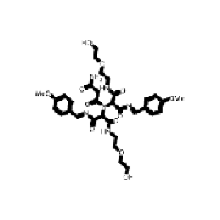 COc1ccc(C=NC(=O)C(C(=O)NCCOCCO)N(C(=O)CC(N)=O)C(C(=O)N=Cc2ccc(OC)cc2)C(=O)NCCOCCO)cc1